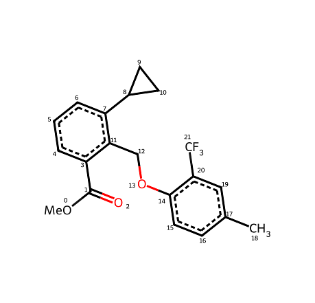 COC(=O)c1cccc(C2CC2)c1COc1ccc(C)cc1C(F)(F)F